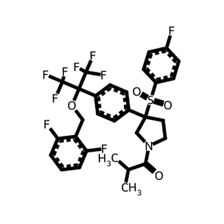 CC(C)C(=O)N1CCC(c2ccc(C(OCc3c(F)cccc3F)(C(F)(F)F)C(F)(F)F)cc2)(S(=O)(=O)c2ccc(F)cc2)C1